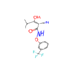 CC(C)/C(O)=C(/C#N)C(=O)NOc1cccc(C(F)(F)F)c1